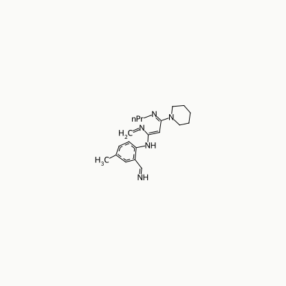 C=N/C(=C\C(=N/CCC)N1CCCCC1)Nc1ccc(C)cc1C=N